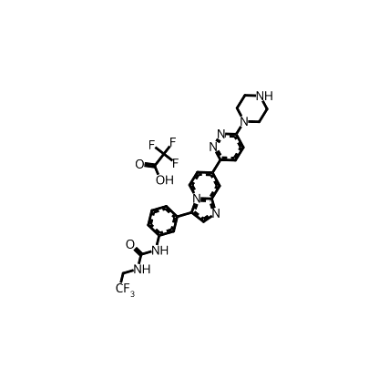 O=C(NCC(F)(F)F)Nc1cccc(-c2cnc3cc(-c4ccc(N5CCNCC5)nn4)ccn23)c1.O=C(O)C(F)(F)F